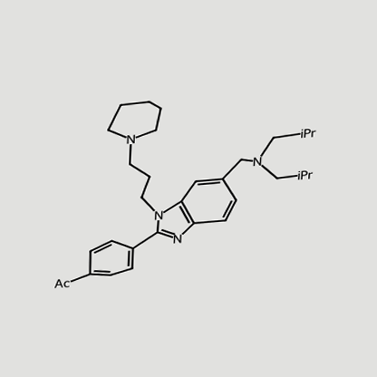 CC(=O)c1ccc(-c2nc3ccc(CN(CC(C)C)CC(C)C)cc3n2CCCN2CCCCC2)cc1